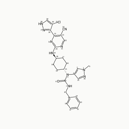 Cn1cc(N(C(=O)NCc2ccccc2)[C@H]2CC[C@H](Nc3ncc(C#N)c(-c4n[nH]cc4Cl)n3)CC2)cn1